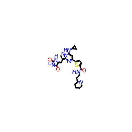 O=C1NC(=O)/C(=C/c2cnn3c(NC4CC4)cc(-c4ccc(C(=O)NCCc5ccccn5)s4)nc23)N1